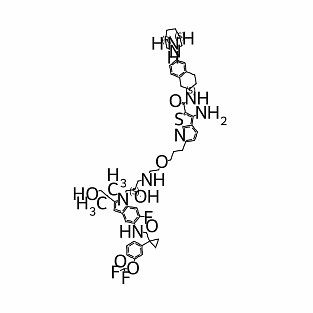 CC(C)(CO)c1cc2cc(NC(=O)C3(c4ccc5c(c4)OC(F)(F)O5)CC3)c(F)cc2n1C[C@@H](O)CNCCOCCCc1ccc2c(N)c(C(=O)N[C@H]3CCc4cc(N5C[C@H]6CC[C@@H](C5)N6)ccc4C3)sc2n1